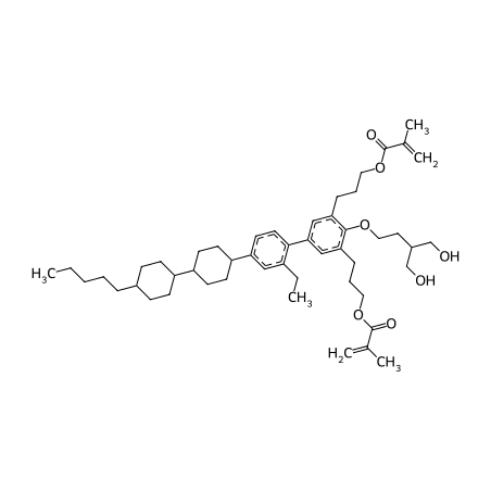 C=C(C)C(=O)OCCCc1cc(-c2ccc(C3CCC(C4CCC(CCCCC)CC4)CC3)cc2CC)cc(CCCOC(=O)C(=C)C)c1OCCC(CO)CO